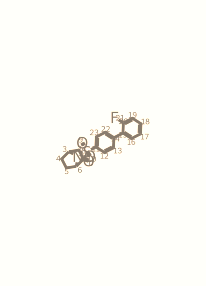 O=C1CC2CCC1N2S(=O)(=O)c1ccc(-c2ccccc2F)cc1